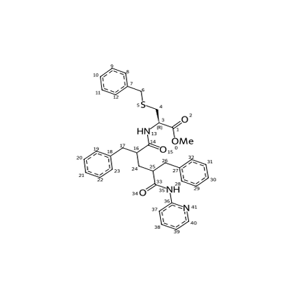 COC(=O)[C@H](CSCc1ccccc1)NC(=O)C(Cc1ccccc1)CC(Cc1ccccc1)C(=O)Nc1ccccn1